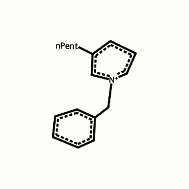 CCCCCc1ccc[n+](Cc2ccccc2)c1